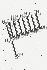 CCCCCCCCCC(=O)O.CCCCCCCCCC(=O)O.CCCCCCCCCC(=O)O.CCCCCCCCCC(=O)O.CCCCCCCCCC(=O)O.CCCCCCCCCC(=O)O.CCCCCCCCCC(=O)O.CCCCCCCCCC(=O)O.CCCCCCCCCCCCCCCCCC(=O)O